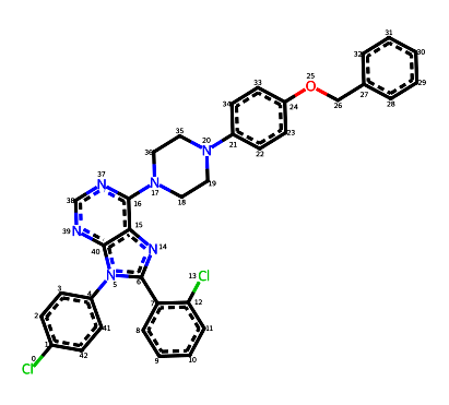 Clc1ccc(-n2c(-c3ccccc3Cl)nc3c(N4CCN(c5ccc(OCc6ccccc6)cc5)CC4)ncnc32)cc1